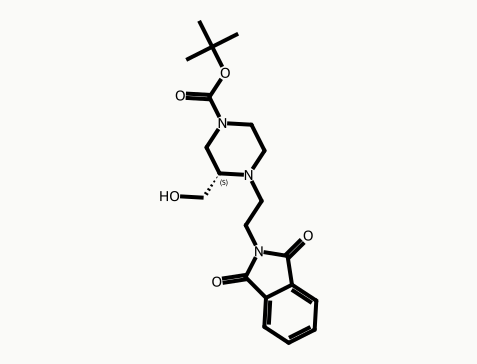 CC(C)(C)OC(=O)N1CCN(CCN2C(=O)c3ccccc3C2=O)[C@H](CO)C1